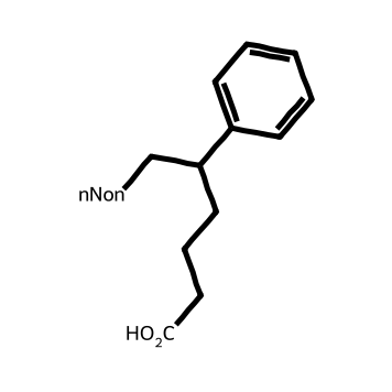 CCCCCCCCCCC(CCCC(=O)O)c1ccccc1